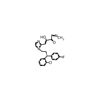 C/N=C\C(=O)/C(O)=C/c1nccn1CC[C@@H](c1ccc(F)cc1)c1ccccc1Cl